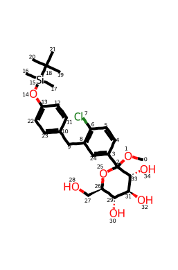 COC1(c2ccc(Cl)c(Cc3ccc(O[Si](C)(C)C(C)(C)C)cc3)c2)O[C@H](CO)[C@@H](O)[C@H](O)[C@H]1O